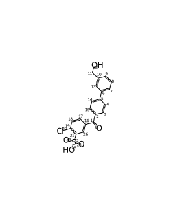 O=C(c1ccc(-c2cccc(CO)c2)cc1)c1ccc(Cl)c(S(=O)(=O)O)c1